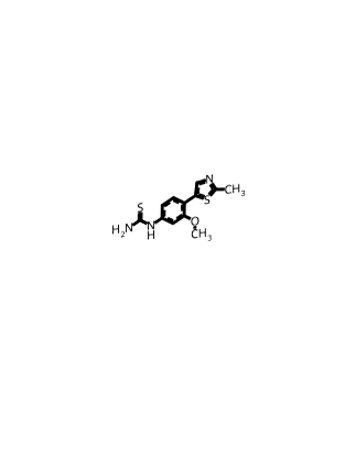 COc1cc(NC(N)=S)ccc1-c1cnc(C)s1